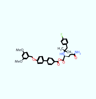 COc1cc(COc2ccc(-c3ccc(C(=O)OC(=O)[C@H](CCC(N)=O)NC(C)(C)Cc4ccc(F)cc4)cc3)cc2)cc(OC)c1